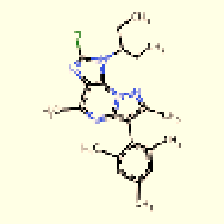 CCC(CC)n1c(Cl)nc2c(C)nc3c(-c4c(C)cc(C)cc4C)c(C)nn3c21